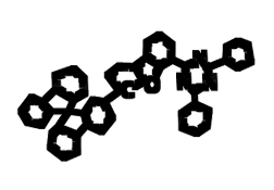 c1ccc(-c2nc(-c3ccccc3)nc(-c3cccc4c3oc3cc(-c5ccc6c(c5)C5(c7ccccc7-c7ccccc75)c5ccccc5-6)ccc34)n2)cc1